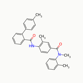 Cc1ccc(-c2ccccc2C(=O)Nc2ccc(C(=O)N(C)c3ccccc3C)cc2C)cc1